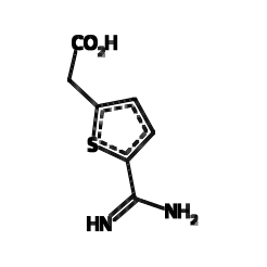 N=C(N)c1ccc(CC(=O)O)s1